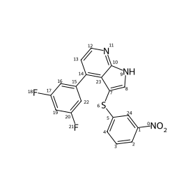 O=[N+]([O-])c1cccc(Sc2c[nH]c3nccc(-c4cc(F)cc(F)c4)c23)c1